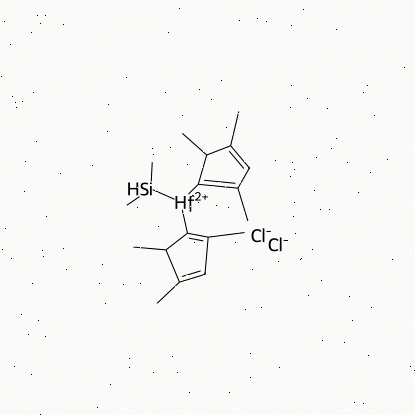 CC1=CC(C)=[C]([Hf+2]([C]2=C(C)C=C(C)C2C)[SiH](C)C)C1C.[Cl-].[Cl-]